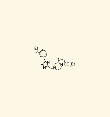 CCOC(=O)N1CCN(Cc2noc(-c3cccc(OCC)c3)n2)CC1C